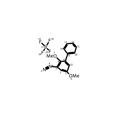 COc1cc([N+]#N)c(OC)c(-c2ccccc2)c1.F[B-](F)(F)F